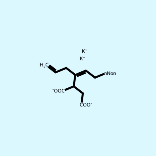 C=CCC(=CCCCCCCCCCC)C(CC(=O)[O-])C(=O)[O-].[K+].[K+]